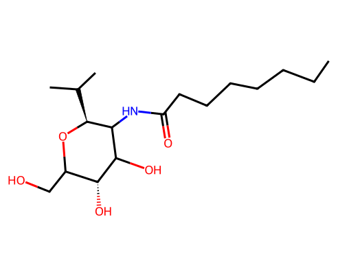 CCCCCCCC(=O)NC1C(O)[C@H](O)C(CO)O[C@H]1C(C)C